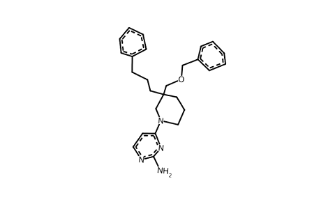 Nc1nccc(N2CCCC(CCCc3ccccc3)(COCc3ccccc3)C2)n1